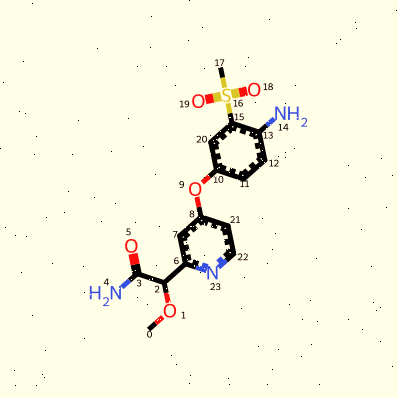 COC(C(N)=O)c1cc(Oc2ccc(N)c(S(C)(=O)=O)c2)ccn1